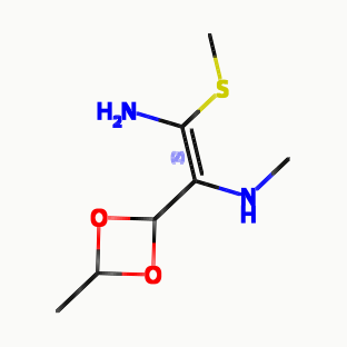 CN/C(=C(/N)SC)C1OC(C)O1